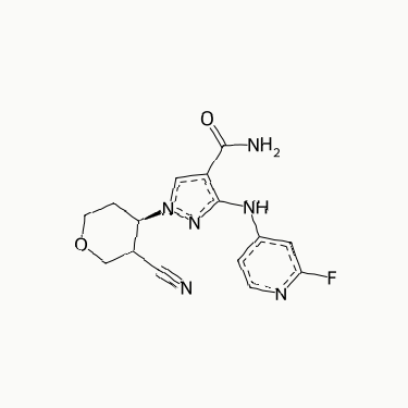 N#CC1COCC[C@H]1n1cc(C(N)=O)c(Nc2ccnc(F)c2)n1